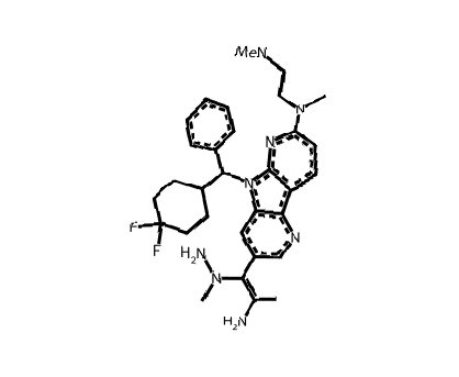 CNCCN(C)c1ccc2c3ncc(/C(=C(\C)N)N(C)N)cc3n(C(c3ccccc3)C3CCC(F)(F)CC3)c2n1